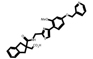 COc1cc(OCc2cccnc2)ccc1-c1csc(CNC(=O)C2(CC(=O)O)Cc3ccccc3C2)n1